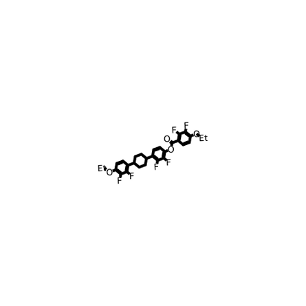 CCOc1ccc(C(=O)Oc2ccc(C3CCC(c4ccc(OCC)c(F)c4F)CC3)c(F)c2F)c(F)c1F